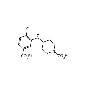 CCOC(=O)c1ccc(Cl)c(NC2CCN(C(=O)O)CC2)c1